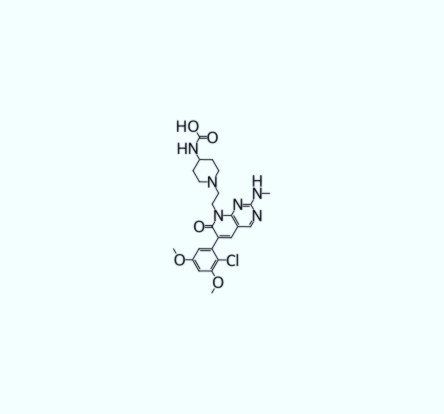 CNc1ncc2cc(-c3cc(OC)cc(OC)c3Cl)c(=O)n(CCN3CCC(NC(=O)O)CC3)c2n1